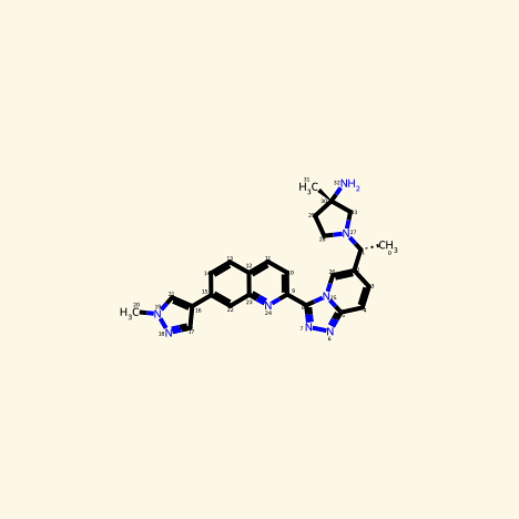 C[C@H](c1ccc2nnc(-c3ccc4ccc(-c5cnn(C)c5)cc4n3)n2c1)N1CC[C@](C)(N)C1